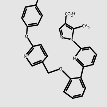 COc1ccc(Oc2ccc(COc3ccccc3-c3cccc(-n4ncc(C(=O)O)c4C)n3)cn2)cc1